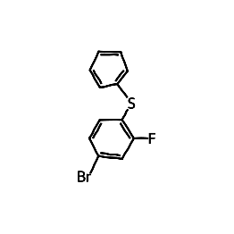 Fc1cc(Br)ccc1Sc1ccccc1